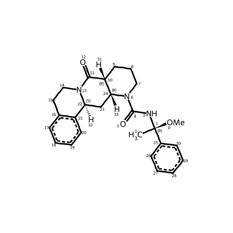 CO[C@@](C)(NC(=O)N1CCC[C@H]2C(=O)N3CCc4ccccc4[C@@H]3C[C@H]21)c1ccccc1